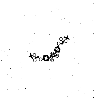 CC(C)(C)OC(=O)COc1ccc(S(=O)(=O)CS(=O)(=O)c2ccc(OCC(=O)OC(C)(C)C)cc2)cc1